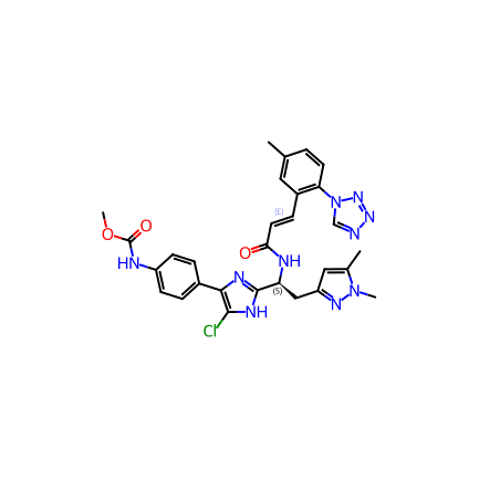 COC(=O)Nc1ccc(-c2nc([C@H](Cc3cc(C)n(C)n3)NC(=O)/C=C/c3cc(C)ccc3-n3cnnn3)[nH]c2Cl)cc1